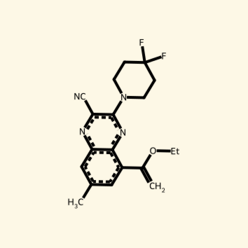 C=C(OCC)c1cc(C)cc2nc(C#N)c(N3CCC(F)(F)CC3)nc12